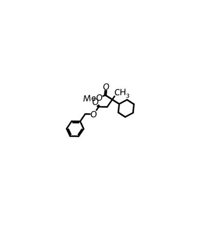 COC(=O)C(C)(CC(=O)OCc1ccccc1)C1CCCCC1